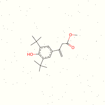 C=C(CC(=O)OC)c1cc(C(C)(C)C)c(O)c(C(C)(C)C)c1